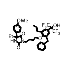 CC=Cc1cc(C(O)(C(F)(F)F)C(F)(F)F)cc(Cc2ccccc2)c1OCCCCN1C(=O)NC(CC)(c2ccc(OC)cc2)C1=O